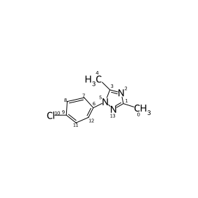 Cc1nc(C)n(-c2ccc(Cl)cc2)n1